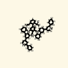 N#Cc1cccc(C(F)(F)F)c1-c1cc(-n2c3ccccc3c3cc(-c4ccnc(-c5ccccc5)c4)ccc32)c(C#N)c(-n2c3ccccc3c3cc(-c4ccnc(-c5ccccc5)c4)ccc32)c1